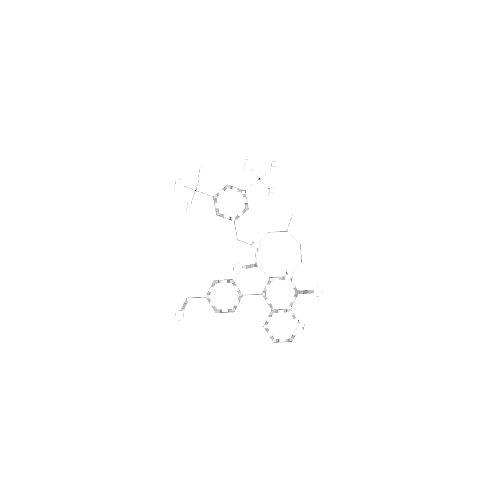 CC1CCn2c(c(-c3ccc(C=O)cc3)c3cccnc3c2=O)C(=O)N(Cc2cc(C(F)(F)F)cc(C(F)(F)F)c2)C1